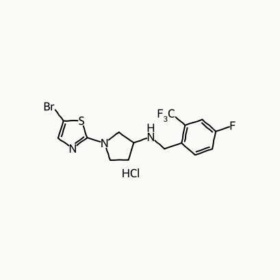 Cl.Fc1ccc(CNC2CCN(c3ncc(Br)s3)C2)c(C(F)(F)F)c1